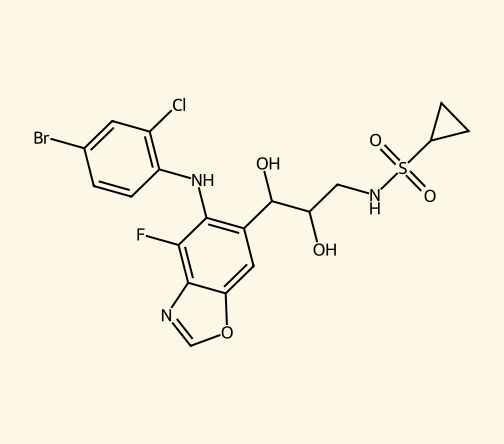 O=S(=O)(NCC(O)C(O)c1cc2ocnc2c(F)c1Nc1ccc(Br)cc1Cl)C1CC1